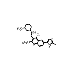 COc1nc2ccc(-c3cnc(C)n3C)cc2c(Cl)c1CNC1CCCC(C(F)(F)F)C1